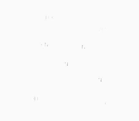 Cc1cc(Cl)nc(N(CCCO)c2ccc(Cl)nc2)c1[N+](=O)[O-]